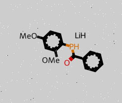 COc1ccc(PC(=O)c2ccccc2)c(OC)c1.[LiH]